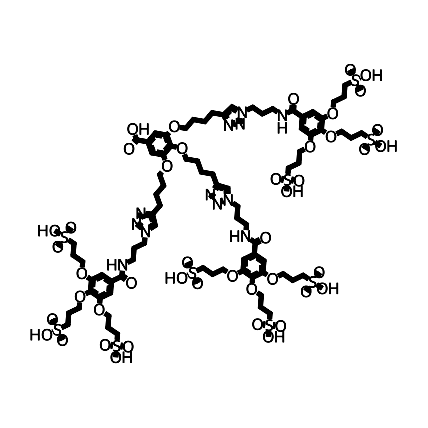 O=C(O)c1cc(OCCCCc2cn(CCCNC(=O)c3cc(OCCCS(=O)(=O)O)c(OCCCS(=O)(=O)O)c(OCCCS(=O)(=O)O)c3)nn2)c(OCCCCc2cn(CCCNC(=O)c3cc(OCCCS(=O)(=O)O)c(OCCCS(=O)(=O)O)c(OCCCS(=O)(=O)O)c3)nn2)c(OCCCCc2cn(CCCNC(=O)c3cc(OCCCS(=O)(=O)O)c(OCCCS(=O)(=O)O)c(OCCCS(=O)(=O)O)c3)nn2)c1